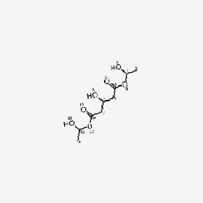 CC(O)OC(=O)CC(O)CC(=O)OC(C)O